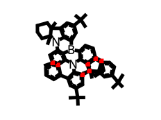 Cc1cc2c3c(c1)N1c4c(cc(C(C)(C)C)cc4C4(C)CCCCC14C)B3c1ccc3c(c1N2c1c(-c2ccccc2)cc(C(C)(C)C)cc1-c1ccccc1)C(C)(C)c1cc(C(C)(C)C)ccc1-3